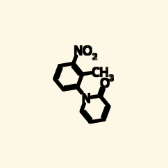 Cc1c(-n2ccccc2=O)cccc1[N+](=O)[O-]